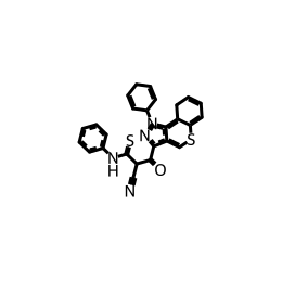 N#CC(C(=O)c1nn(C2C=CCC=C2)c2c1=CSC1=CC=CCC=21)C(=S)Nc1ccccc1